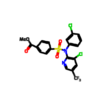 COC(=O)c1ccc(S(=O)(=O)N(c2cccc(Cl)c2)c2ncc(C(F)(F)F)cc2Cl)cc1